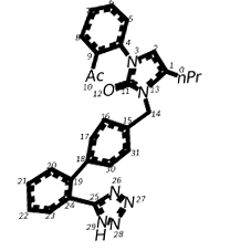 CCCc1cn(-c2ccccc2C(C)=O)c(=O)n1Cc1ccc(-c2ccccc2-c2nnn[nH]2)cc1